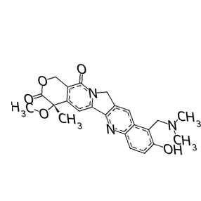 CO[C@]1(C)C(=O)OCc2c1cc1n(c2=O)Cc2cc3c(CN(C)C)c(O)ccc3nc2-1